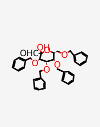 O=C[C@@]1(O)O[C@H](COCc2ccccc2)[C@H](OCc2ccccc2)[C@H](OCc2ccccc2)[C@H]1OCc1ccccc1